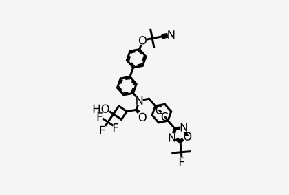 CC(C)(C#N)Oc1ccc(-c2cccc(N(CC34CCC(c5noc(C(C)(C)F)n5)(CC3)CC4)C(=O)C3CC(O)(C(F)(F)F)C3)c2)cc1